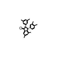 Cc1cc(C)cc([C@@H]2C(=O)c3cc(C)cc(C)c3[C@H]2c2ccc(C)c(C)c2)c1